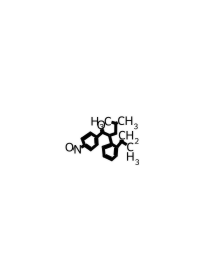 C=C(C)c1ccccc1C(CC(C)C)C(=O)c1ccc(N=O)cc1